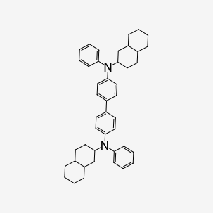 c1ccc(N(c2ccc(-c3ccc(N(c4ccccc4)C4CCC5CCCCC5C4)cc3)cc2)C2CCC3CCCCC3C2)cc1